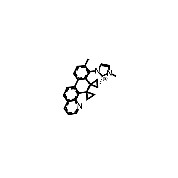 Cc1ccc2c(c1N1C=CN(C)[C@@H]1C)C1(CC1)C1(CC1)c1c-2ccc2cccnc12